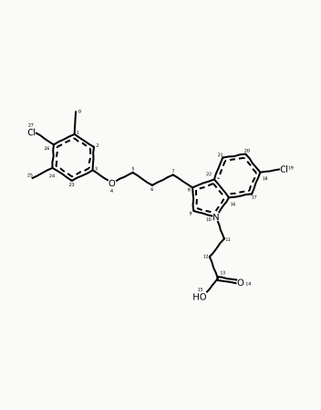 Cc1cc(OCCCc2cn(CCC(=O)O)c3cc(Cl)ccc23)cc(C)c1Cl